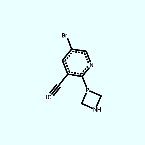 C#Cc1cc(Br)cnc1P1CNC1